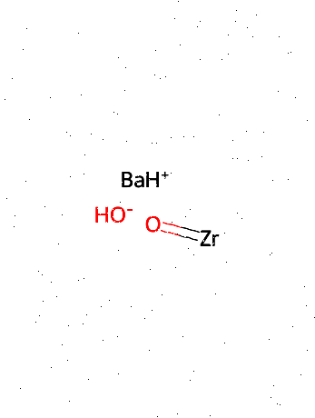 [BaH+].[OH-].[O]=[Zr]